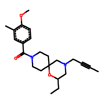 CC#CCN1CC(CC)OC2(CCN(C(=O)c3ccc(OC)c(C)c3)CC2)C1